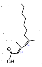 CCCCCCC/C(C)=C\C(C)=C\C(=O)O